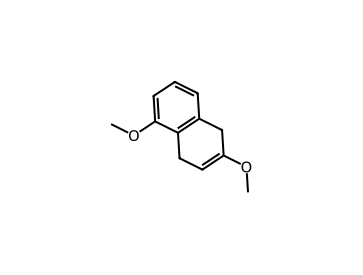 COC1=CCc2c(cccc2OC)C1